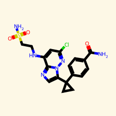 NC(=O)c1ccc(C2(c3cnc4c(NCCS(N)(=O)=O)cc(Cl)nn34)CC2)cc1